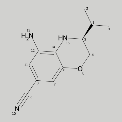 CC(C)[C@H]1COc2cc(C#N)cc(N)c2N1